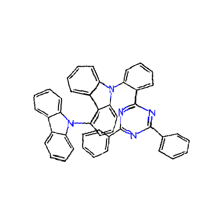 c1ccc(-c2nc(-c3ccccc3)nc(-c3ccccc3-n3c4ccccc4c4c(-n5c6ccccc6c6ccccc65)cccc43)n2)cc1